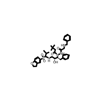 CC(C)C(NC[C@@H](O)[C@H](Cc1ccccc1)N(NC(=O)CNCc1ccccc1)C(=O)CC(C)(C)C)S(=O)(=O)c1ccc2c(c1)CCO2